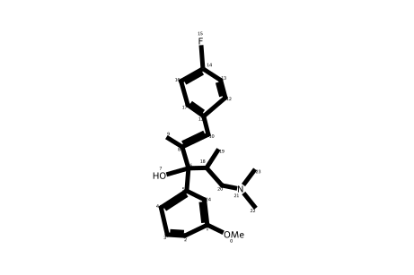 COc1cccc(C(O)(C(C)=Cc2ccc(F)cc2)C(C)CN(C)C)c1